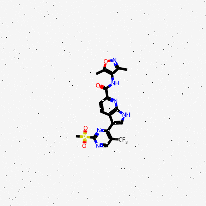 Cc1noc(C)c1NC(=O)c1ccc2c(-c3nc(S(C)(=O)=O)ncc3C(F)(F)F)c[nH]c2n1